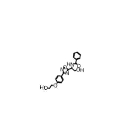 O=C(NC(CO)c1nc(-c2ccc(OCCO)cc2)no1)c1ccccc1